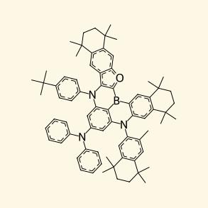 Cc1cc2c(cc1N1c3cc4c(cc3B3c5oc6cc7c(cc6c5N(c5ccc(C(C)(C)C)cc5)c5cc(N(c6ccccc6)c6ccccc6)cc1c53)C(C)(C)CCC7(C)C)C(C)(C)CCC4(C)C)C(C)(C)CCC2(C)C